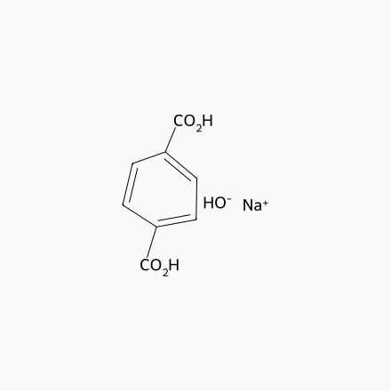 O=C(O)c1ccc(C(=O)O)cc1.[Na+].[OH-]